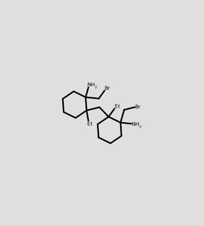 CCC1(CC2(CC)CCCCC2(N)CBr)CCCCC1(N)CBr